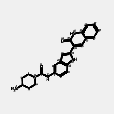 NC1CCN(C(=O)Nc2ccc3[nH]c(-c4cc5ccccc5[nH]c4=O)cc3c2)CC1